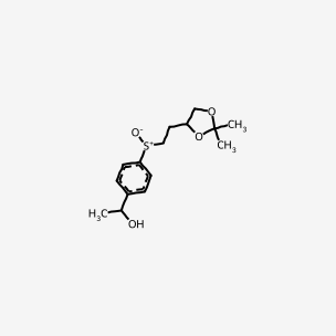 CC(O)c1ccc([S+]([O-])CCC2COC(C)(C)O2)cc1